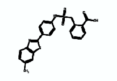 Cc1ccc2nc(-c3ccc(NS(=O)(=O)Cc4ccccc4C(=O)O)cc3)sc2c1